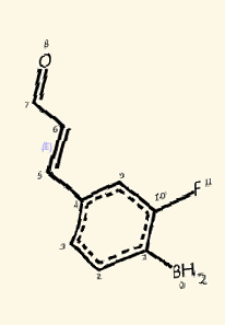 Bc1ccc(/C=C/C=O)cc1F